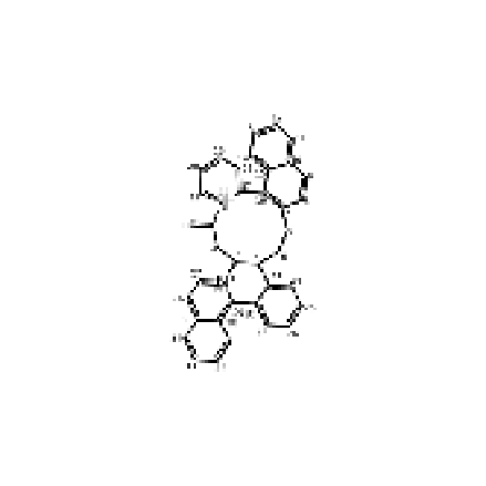 C=C1CC2C(CCc3ccc4ccccc4c3-c3cccc[n+]31)c1ccccc1-c1c3ccccc3cc[n+]12